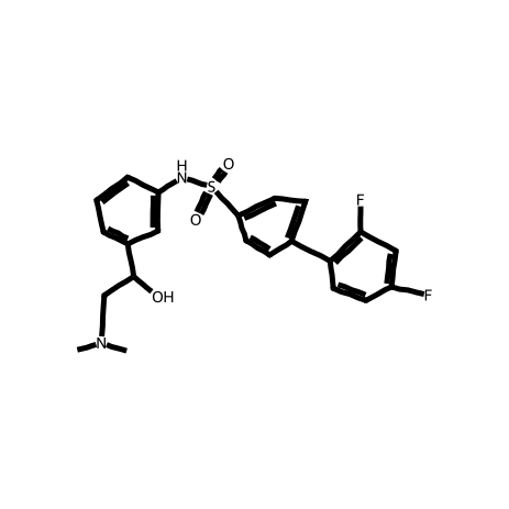 CN(C)CC(O)c1cccc(NS(=O)(=O)c2ccc(-c3ccc(F)cc3F)cc2)c1